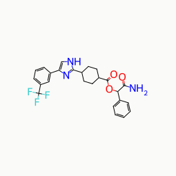 NC(=O)C(OC(=O)C1CCC(c2nc(-c3cccc(C(F)(F)F)c3)c[nH]2)CC1)c1ccccc1